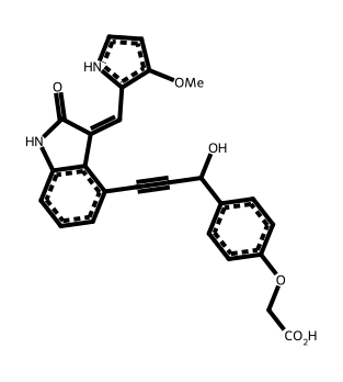 COc1cc[nH]c1/C=C1\C(=O)Nc2cccc(C#CC(O)c3ccc(OCC(=O)O)cc3)c21